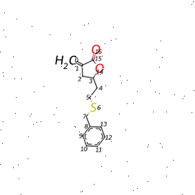 C=C1CC(CCSCc2ccccc2)OC1=O